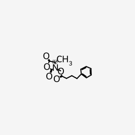 C[C@H]1C(=O)OC(=O)N1OC(=O)CCCc1ccccc1